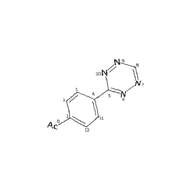 CC(=O)c1ccc(-c2nncnn2)cc1